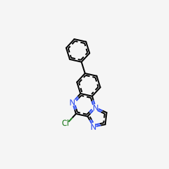 Clc1nc2cc(-c3ccccc3)ccc2n2ccnc12